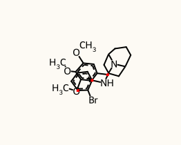 COc1cc(CN2C3CCCC2CC(Nc2ccccc2Br)C3)cc(OC)c1OC